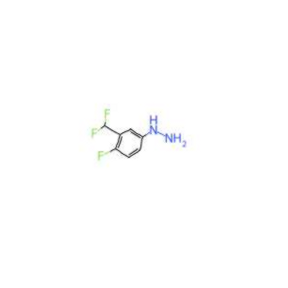 NNc1ccc(F)c(C(F)F)c1